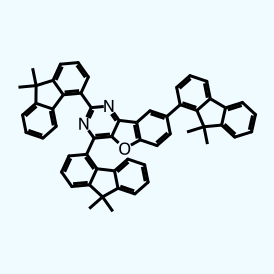 CC1(C)c2ccccc2-c2c(-c3nc(-c4cccc5c4-c4ccccc4C5(C)C)c4oc5ccc(-c6cccc7c6C(C)(C)c6ccccc6-7)cc5c4n3)cccc21